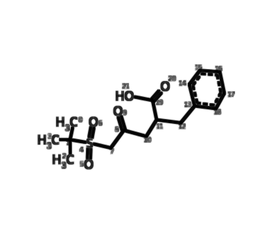 CC(C)(C)S(=O)(=O)CC(=O)CC(Cc1ccccc1)C(=O)O